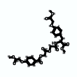 COC(=O)COc1ccc(CC(NC(=O)COC(=O)COC(=O)c2ccc(OCC(=O)OC)cc2)C(=O)OC)cc1